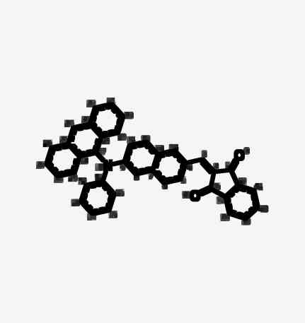 O=C1C(=Cc2ccc3cc(N(c4ccccc4)c4c5ccccc5cc5ccccc45)ccc3c2)C(=O)c2ccccc21